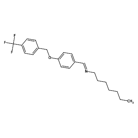 CCCCCCCN=Cc1ccc(OCc2ccc(C(F)(F)F)cc2)cc1